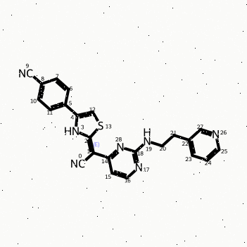 N#C/C(=C1\NC(c2ccc(C#N)cc2)=CS1)c1ccnc(NCCc2cccnc2)n1